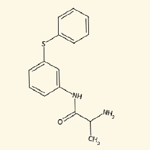 CC(N)C(=O)Nc1cccc(Sc2ccccc2)c1